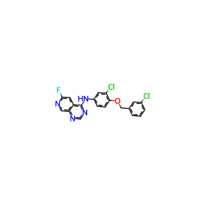 Fc1cc2c(Nc3ccc(OCc4cccc(Cl)c4)c(Cl)c3)ncnc2cn1